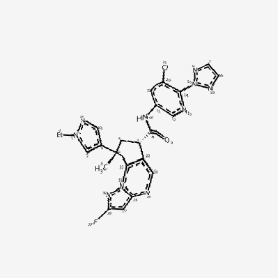 CCn1cc([C@]2(C)C[C@H](C(=O)Nc3cnc(-n4nccn4)c(Cl)c3)c3cnc4cc(F)nn4c32)cn1